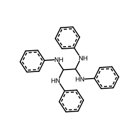 c1ccc(NC(Nc2ccccc2)C(Nc2ccccc2)Nc2ccccc2)cc1